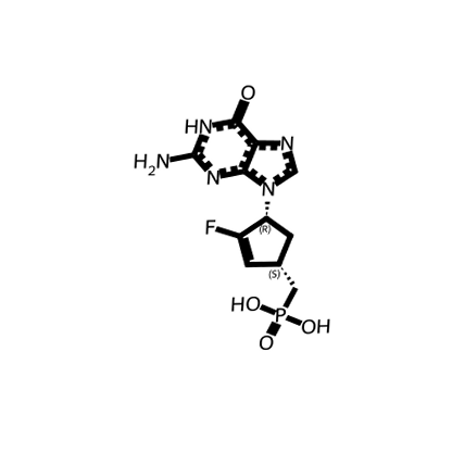 Nc1nc2c(ncn2[C@@H]2C[C@H](CP(=O)(O)O)C=C2F)c(=O)[nH]1